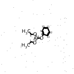 CC[O][Al]([O]CC)[O]c1ccccc1